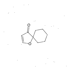 O=C1C=COC12CCCCC2